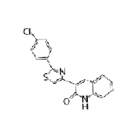 O=c1[nH]c2ccccc2cc1-c1csc(-c2ccc(Cl)cc2)n1